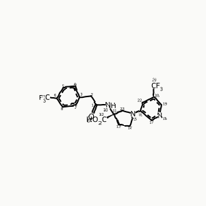 O=C(Cc1ccc(C(F)(F)F)cc1)N[C@@]1(C(=O)O)CCN(c2cncc(C(F)(F)F)c2)C1